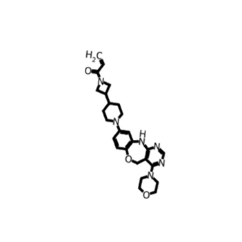 C=CC(=O)N1CC(C2CCN(c3ccc4c(c3)Nc3ncnc(N5CCOCC5)c3CO4)CC2)C1